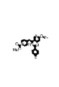 CC(C)Oc1ccc(C(CC2CCN(C(=O)OC(C)(C)C)CC2)NC(=O)c2ccc(F)cc2)cn1